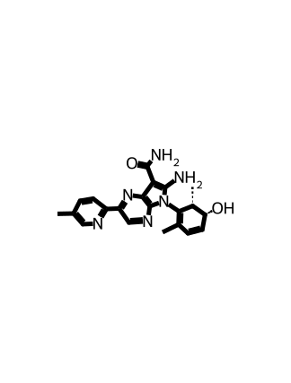 CC1=C(n2c(N)c(C(N)=O)c3nc(-c4ccc(C)cn4)cnc32)[C@H](C)[C@H](O)C=C1